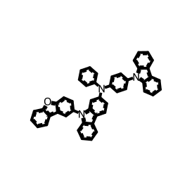 c1ccc(N(c2ccc(-n3c4ccccc4c4ccccc43)cc2)c2ccc3c4ccccc4n(-c4ccc5oc6ccccc6c5c4)c3c2)cc1